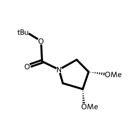 CO[C@H]1CN(C(=O)OC(C)(C)C)C[C@H]1OC